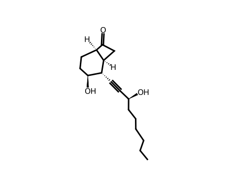 CCCCCC[C@H](O)C#C[C@H]1[C@@H]2CC(=O)[C@@H]2CC[C@@H]1O